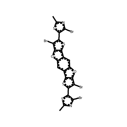 Cc1nc(Br)c(-c2sc3c(oc4cc5c(cc43)oc3c(Br)c(-c4sc(C)nc4Br)sc35)c2Br)s1